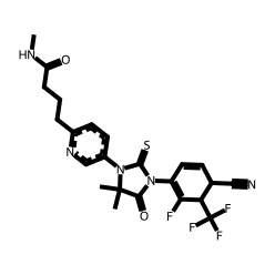 CNC(=O)CCCc1ccc(N2C(=S)N(C3=C(F)C(C(F)(F)F)C(C#N)C=C3)C(=O)C2(C)C)cn1